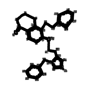 O=C1CCCc2c1ccc(OCCc1cncn1Cc1ccccc1)c2CCc1ccccc1